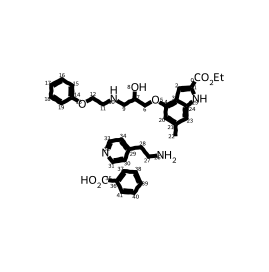 CCOC(=O)c1cc2c(OCC(O)CNCCOc3ccccc3)cc(C)cc2[nH]1.NCCc1ccncc1.O=C(O)c1ccccc1